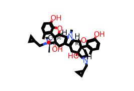 Cc1ccc(O)c2c1[C@]13C[C@@H]4C(N4CC4CC4)[C@]1(O)Cc1c4c(n(C)c1[C@@H]3O2)[C@@H]1Oc2c(O)ccc(C)c2[C@@]12CCN(CC1CC1)[C@H](C)[C@]2(O)C4